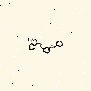 CCC(NCc1cccc(OCc2ccccc2)c1)c1ccccc1